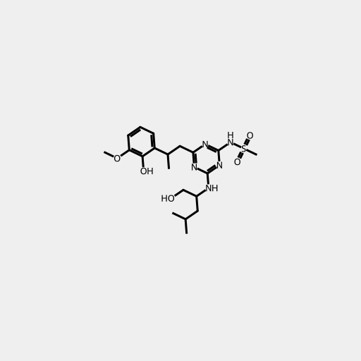 COc1cccc(C(C)Cc2nc(NC(CO)CC(C)C)nc(NS(C)(=O)=O)n2)c1O